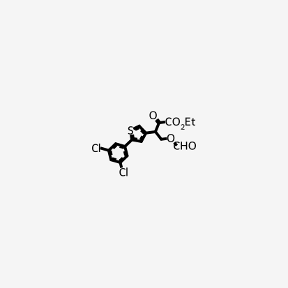 CCOC(=O)C(=O)C(COC=O)c1csc(-c2cc(Cl)cc(Cl)c2)c1